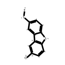 FSc1ccc2sc3ccc(Cl)cc3c2c1